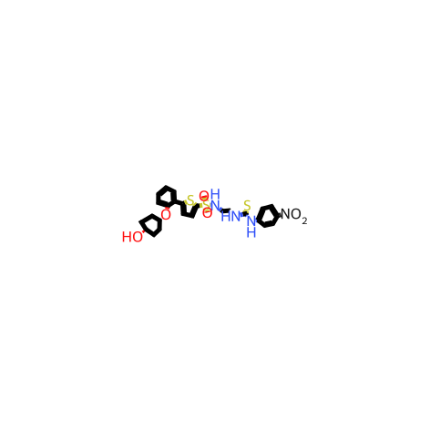 O=[N+]([O-])c1ccc(NC(=S)NCCNS(=O)(=O)c2ccc(-c3ccccc3O[C@H]3CC[C@H](O)CC3)s2)cc1